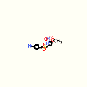 COc1ccc(CS(=O)(=O)/C=C/c2ccc(C#N)cc2)nc1[N+](=O)[O-]